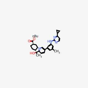 CCCCOC(=O)[C@H]1CC[C@H](C(C)(O)c2ccc(-c3cc(C)cc(Nc4nccc(C5CC5)n4)c3)cn2)CC1